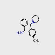 Cc1ccc(CN2CCCCC2)cc1.NCc1ccccc1